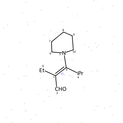 CC/C(C=O)=C(/C(C)C)N1CCCCC1